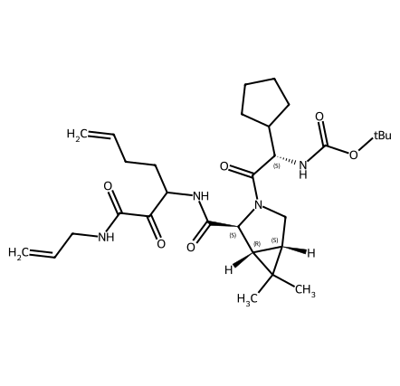 C=CCCC(NC(=O)[C@@H]1[C@@H]2[C@H](CN1C(=O)[C@@H](NC(=O)OC(C)(C)C)C1CCCC1)C2(C)C)C(=O)C(=O)NCC=C